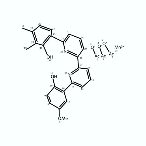 CC(=O)[O-].CC(=O)[O-].CC(=O)[O-].COc1ccc(O)c(-c2cccc(-c3cccc(-c4ccc(C)c(C)c4O)n3)n2)c1.[Mn+3]